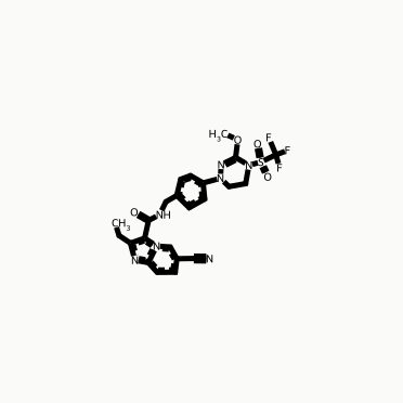 CCc1nc2ccc(C#N)cn2c1C(=O)NCc1ccc(N2CCN(S(=O)(=O)C(F)(F)F)C(OC)=N2)cc1